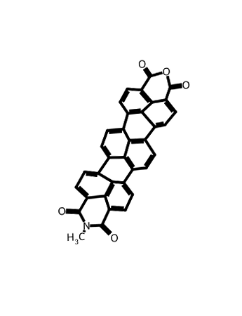 CN1C(=O)c2ccc3c4ccc5c6ccc7c8c(ccc(c9ccc(c%10ccc(c2c3%10)C1=O)c4c59)c86)C(=O)OC7=O